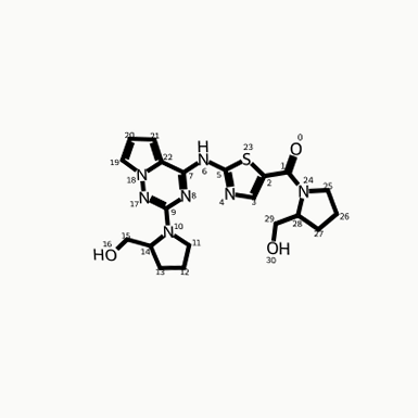 O=C(c1cnc(Nc2nc(N3CCCC3CO)nn3cccc23)s1)N1CCCC1CO